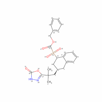 CC(C)(C[C@@H]1Cc2ccccc2C(S(=O)(=O)C(=O)OCc2ccccc2)C1)c1n[nH]c(=O)o1